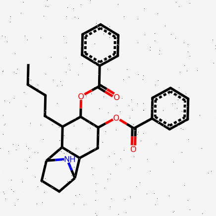 CCCCC1C(OC(=O)c2ccccc2)C(OC(=O)c2ccccc2)CC2C3CCC(N3)C21